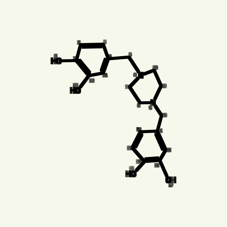 Oc1ccc(CN2CCN(Cc3ccc(O)c(O)c3)CC2)cc1O